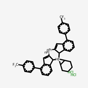 CCCC1=Cc2c(-c3ccc(C(F)(F)F)cc3)cccc2[CH]1[Hf]1([CH]2C(CCC)=Cc3c(-c4ccc(C(F)(F)F)cc4)cccc32)[CH]2CCCC[CH]21.Cl.Cl